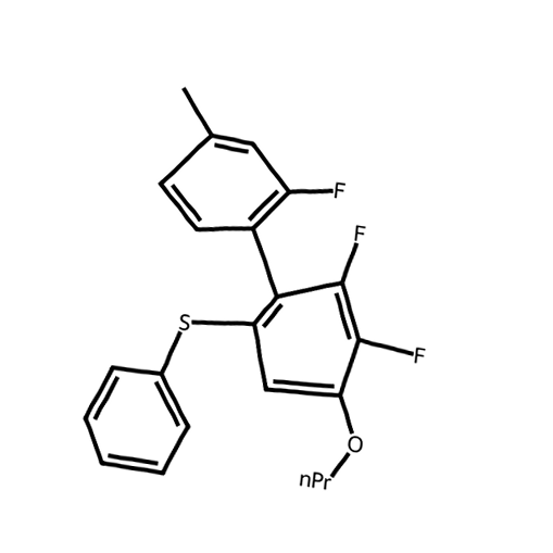 CCCOc1cc(Sc2ccccc2)c(-c2ccc(C)cc2F)c(F)c1F